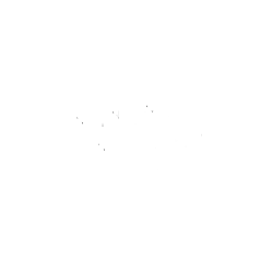 Cc1cc(N2CCCOCC2c2cc(C)c(F)cc2Cl)nc(N)n1